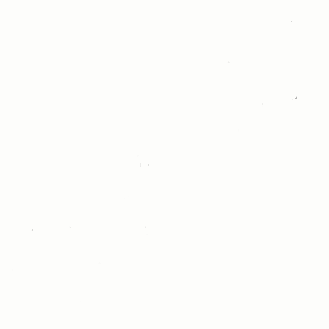 S=C(Cc1ccccc1)OCCSc1ccccc1